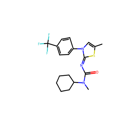 Cc1cn(-c2ccc(C(F)(F)F)cc2)c(=NC(=O)N(C)C2CCCCC2)s1